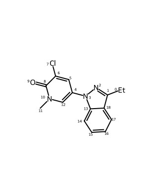 CCc1nn(-c2cc(Cl)c(=O)n(C)c2)c2ccccc12